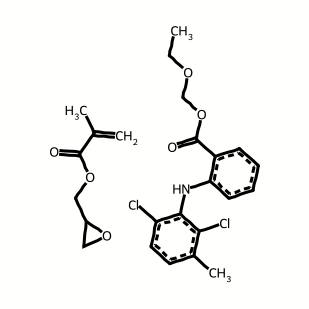 C=C(C)C(=O)OCC1CO1.CCOCOC(=O)c1ccccc1Nc1c(Cl)ccc(C)c1Cl